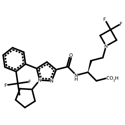 CC(F)(F)c1ccccc1-c1cc(C(=O)N[C@@H](CCN2CC(F)(F)C2)CC(=O)O)nn1C1CCCC1